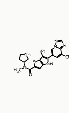 Cc1cc(-c2[nH]c3cc(C(=O)N(C)[C@H]4CCNC4)sc3c2C(C)C)cn2ncnc12